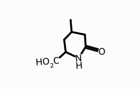 CC1CC(=O)NC(C(=O)O)C1